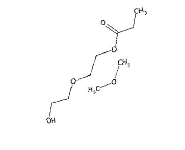 CCC(=O)OCCOCCO.COC